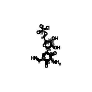 N=Cn1cc([C@@H]2O[C@H](COP(=O)(Cl)Cl)[C@H](O)C2O)c(=O)n(N)c1=O